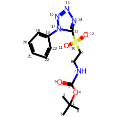 CC(C)(C)OC(=O)NCCS(=O)(=O)c1nnnn1-c1ccccc1